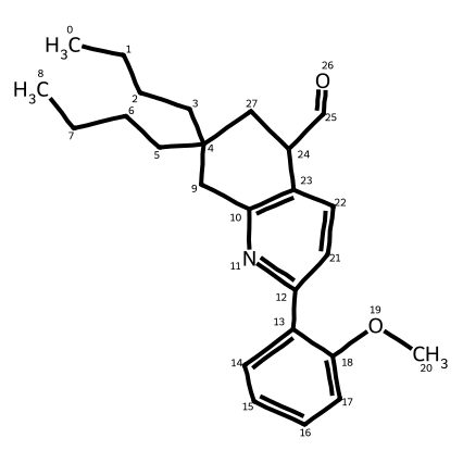 CCCCC1(CCCC)Cc2nc(-c3ccccc3OC)ccc2C(C=O)C1